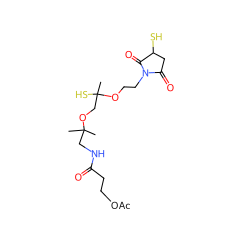 CC(=O)OCCC(=O)NCC(C)(C)OCC(C)(S)OCCN1C(=O)CC(S)C1=O